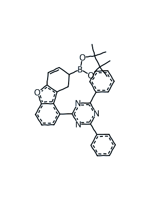 CC1(C)OB(C2C=Cc3oc4cccc(-c5nc(-c6ccccc6)nc(-c6ccccc6)n5)c4c3C2)OC1(C)C